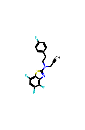 C#CCN(CCc1ccc(F)cc1)c1nc2c(F)c(F)cc(F)c2s1